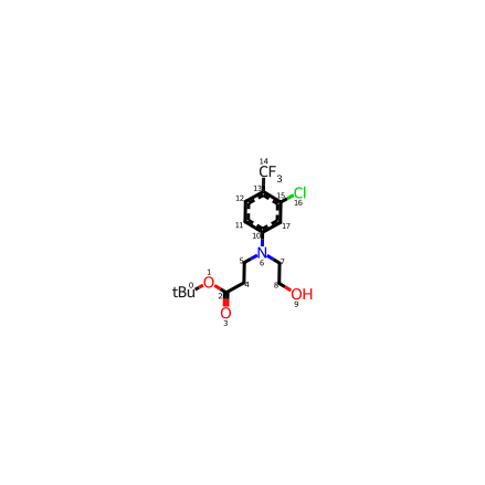 CC(C)(C)OC(=O)CCN(CCO)c1ccc(C(F)(F)F)c(Cl)c1